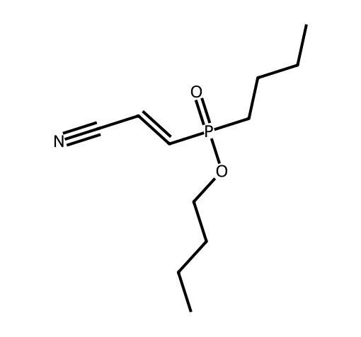 CCCCOP(=O)(C=CC#N)CCCC